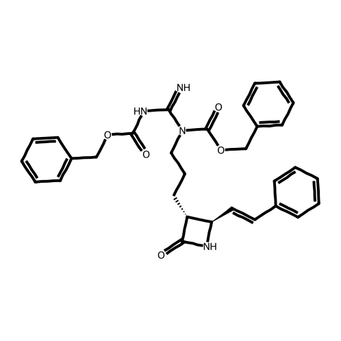 N=C(NC(=O)OCc1ccccc1)N(CCC[C@H]1C(=O)N[C@@H]1C=Cc1ccccc1)C(=O)OCc1ccccc1